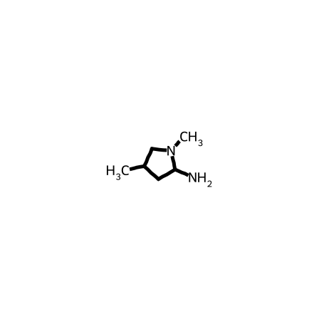 CC1CC(N)N(C)C1